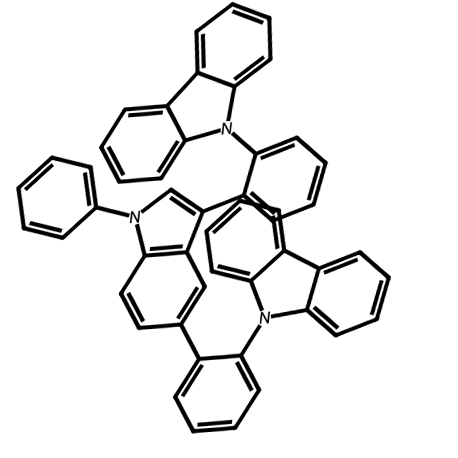 c1ccc(-n2cc(-c3ccccc3-n3c4ccccc4c4ccccc43)c3cc(-c4ccccc4-n4c5ccccc5c5ccccc54)ccc32)cc1